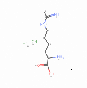 CC(=N)NCCCCC(N)C(=O)O.Cl.Cl